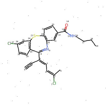 C#C/C(=C\C=C(/C)Cl)C1=Nc2cc(C(=O)NCCCC)ccc2Sc2cc(Cl)ccc21